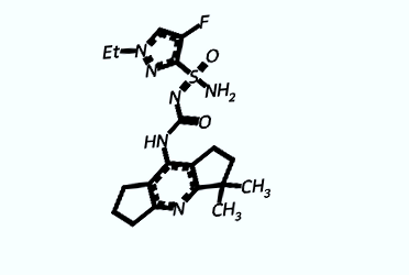 CCn1cc(F)c(S(N)(=O)=NC(=O)Nc2c3c(nc4c2CCC4(C)C)CCC3)n1